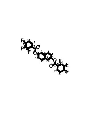 O=C(Oc1ccc2cc(OC(=O)c3ccc(F)c(F)c3F)ccc2c1)c1ccc(F)c(F)c1F